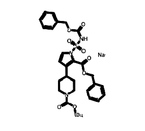 CC(C)(C)OC(=O)N1CCC(c2ccn(S(=O)(=O)NC(=O)OCc3ccccc3)c2C(=O)OCc2ccccc2)CC1.[Na]